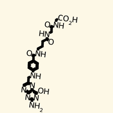 Nc1nc(O)c2nc(CNc3ccc(C(=O)NCCCC(=O)NCC(=O)NCC(=O)O)cc3)cnc2n1